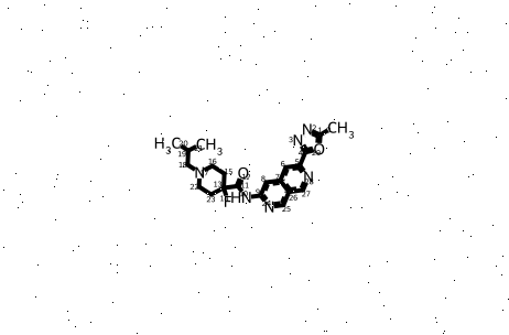 Cc1nnc(-c2cc3cc(NC(=O)C4(F)CCN(CC(C)C)CC4)ncc3cn2)o1